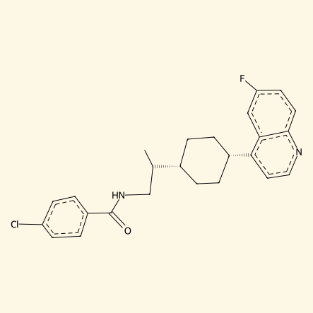 CC(CNC(=O)c1ccc(Cl)cc1)[C@H]1CC[C@@H](c2ccnc3ccc(F)cc32)CC1